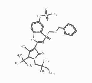 CCC(C)(C)CN1C(=O)C(C2=N[P@@](=O)(COCc3ccccc3)c3cc(NS(C)(=O)=O)ccc3N2)=C(O)C1C(C)(C)C